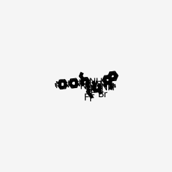 CCc1cc(Nc2ncc(Br)c(Nc3ccc4ccccc4c3P(C)C)n2)c(OCC(F)(F)F)nc1N1CCC(N2CCN(C)CC2)CC1